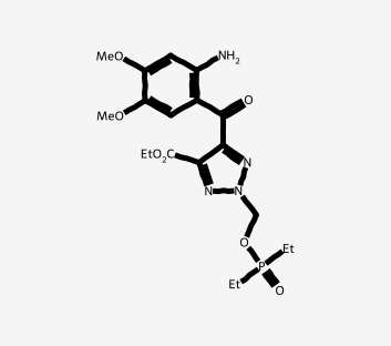 CCOC(=O)c1nn(COP(=O)(CC)CC)nc1C(=O)c1cc(OC)c(OC)cc1N